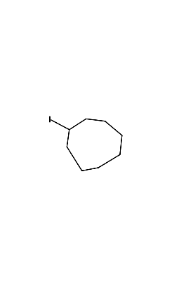 IC1CCCCCCC1